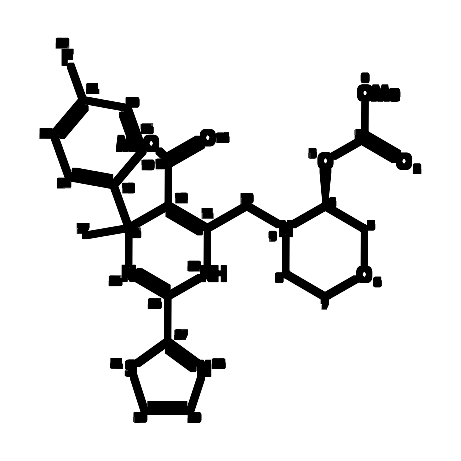 COC(=O)O[C@H]1COCCN1CC1=C(C(=O)OC)C(C)(c2ccc(F)cc2)N=C(c2nccs2)N1